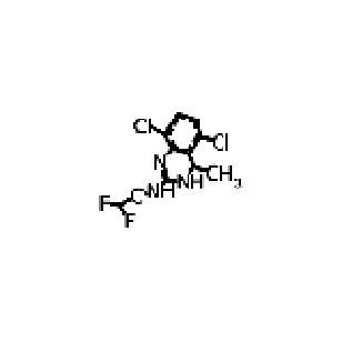 CC1NC(NCC(F)F)=Nc2c(Cl)ccc(Cl)c21